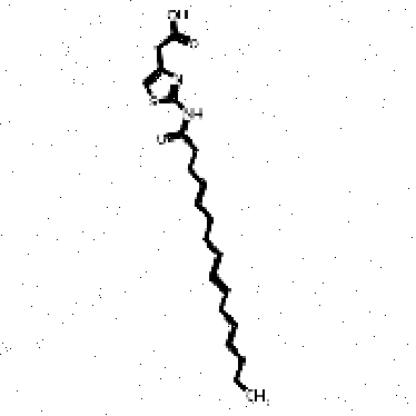 CCCCCCC=CCCCCCCCC(=O)Nc1nc(CC(=O)O)cs1